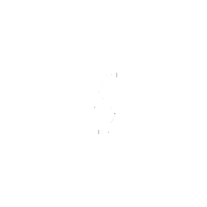 OCCO.[InH3]